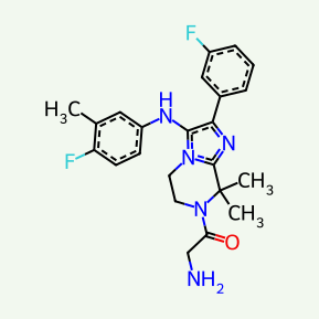 Cc1cc(Nc2c(-c3cccc(F)c3)nc3n2CCN(C(=O)CN)C3(C)C)ccc1F